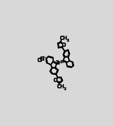 Cc1ccc(-c2ccc3c(c2)[C]([Zr+2][C]2=C4C=CC=CC4c4ccc(-c5ccc(C)o5)cc42)=C2C=CC=CC23)o1.[Cl-].[Cl-]